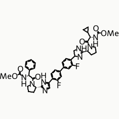 COC(=O)N[C@H](C(=O)N1CCC[C@H]1C1=NC(c2ccc(-c3ccc(-c4cnc([C@@H]5CCCN5C(=O)[C@H](NC(=O)OC)c5ccccc5)[nH]4)c(F)c3)cc2F)CN1)C1CC1